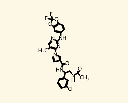 CC(=O)NCC(NC(=O)c1ccn(-c2nc(Nc3ccc4c(c3)OC(F)(F)O4)ncc2C)c1)c1cccc(Cl)c1